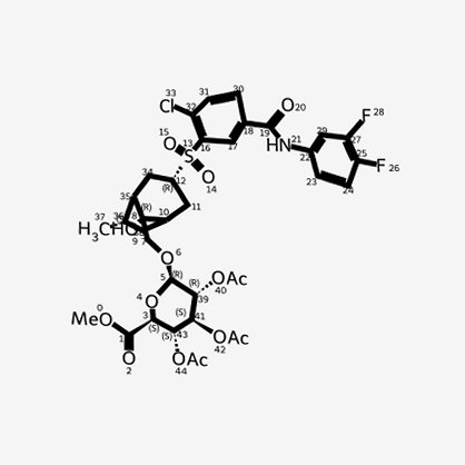 COC(=O)[C@H]1O[C@@H](OC[C@@]2(O)C3C[C@@H](S(=O)(=O)c4cc(C(=O)Nc5ccc(F)c(F)c5)ccc4Cl)CC2[C@@H](C)C3)[C@H](OC(C)=O)[C@@H](OC(C)=O)[C@@H]1OC(C)=O